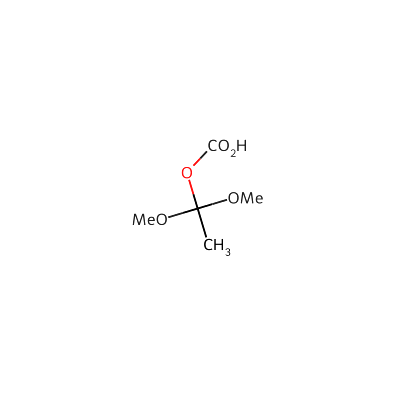 COC(C)(OC)OC(=O)O